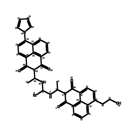 CCC(NC(C)N1C(=O)c2cccc3c(CCO)ccc(c23)C1=O)NC(C)N1C(=O)c2cccc3c(-n4ccnc4)ccc(c23)C1=O